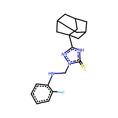 Fc1ccccc1NCn1nc(C23CC4CC(CC(C4)C2)C3)[nH]c1=S